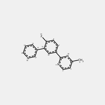 Cc1ccnc(-c2ccc(F)c(-c3cccnc3)c2)n1